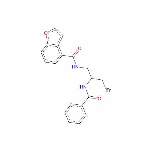 CC(C)CC(CNC(=O)c1cccc2occc12)NC(=O)c1ccccc1